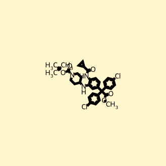 COC(=O)C(c1ccc(Cl)cc1)(c1ccc(Cl)cc1)c1ccc(NC(=O)C2CC2)c(NC2CCN(C(=O)OC(C)(C)C)CC2)c1